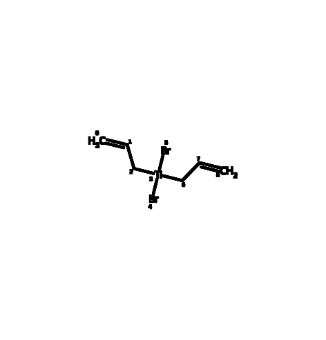 C=C[CH2][Ti]([Br])([Br])[CH2]C=C